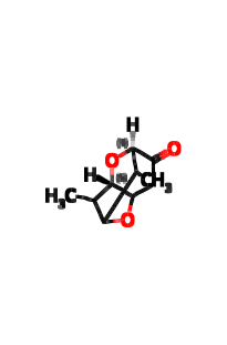 CC1C2OC3CC(=O)[C@H](O[C@H]31)C2C